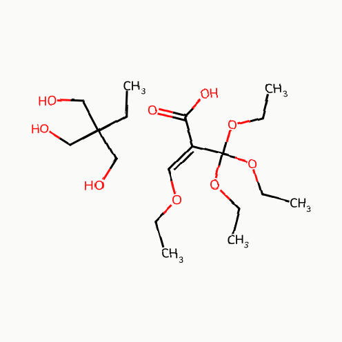 CCC(CO)(CO)CO.CCOC=C(C(=O)O)C(OCC)(OCC)OCC